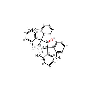 Cc1ccccc1C(C)(C(=O)C(C)(c1ccccc1C)c1ccccc1C)c1ccccc1C